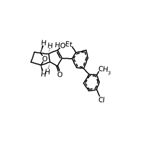 CCc1ccc(-c2ccc(Cl)cc2C)cc1C1=C(O)[C@H]2[C@@H](C1=O)[C@@H]1CC[C@H]2O1